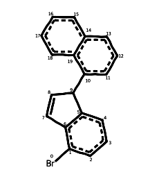 Brc1cccc2c1C=CC2c1cccc2ccccc12